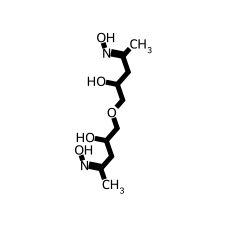 CC(CC(O)COCC(O)CC(C)=NO)=NO